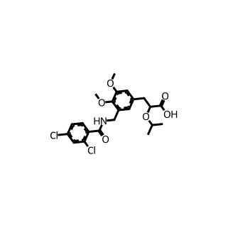 COc1cc(CC(OC(C)C)C(=O)O)cc(CNC(=O)c2ccc(Cl)cc2Cl)c1OC